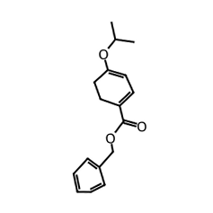 CC(C)OC1=CC=C(C(=O)OCc2ccccc2)CC1